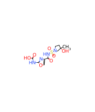 CC1(O)CCN(S(=O)(=O)NC(=O)c2coc(NC(=O)O)n2)C1